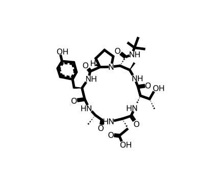 C[C@@H]1NC(=O)[C@@H](Cc2ccc(O)cc2)NC(=O)[C@@H]2CCCN2[C@H](C(=O)NC(C)(C)C)[C@@H](C)NC(=O)[C@H]([C@@H](C)O)NC(=O)[C@H](CC(=O)O)NC1=O